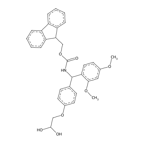 COc1ccc(C(NC(=O)OCC2c3ccccc3-c3ccccc32)c2ccc(OCC(O)O)cc2)c(OC)c1